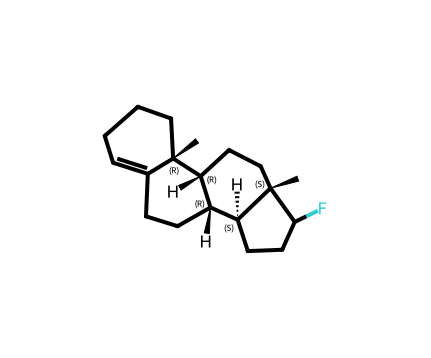 C[C@]12CCCC=C1CC[C@@H]1[C@H]2CC[C@]2(C)C(F)CC[C@@H]12